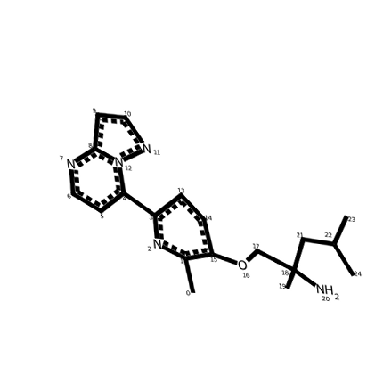 Cc1nc(-c2ccnc3ccnn23)ccc1OCC(C)(N)CC(C)C